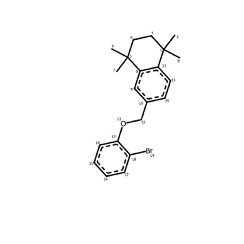 CC1(C)CCC(C)(C)c2cc(COc3ccccc3Br)ccc21